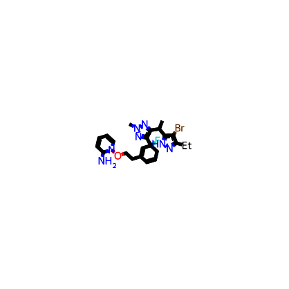 CCc1n[nH]c(C(C)c2nn(C)nc2C2(F)C=C(CCON3C=CC=CC3N)C=CC2)c1Br